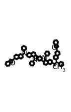 CC(c1ccc2c(ccc3c4cc5c(cc4n(-c4ccccc4)c23)c2ccc3cc(N(c4ccccc4)c4ccc6cc(-c7cc8ccccc8o7)ccc6c4)ccc3c2n5-c2ccccc2)c1)C(c1ccccc1)c1ccc2cc(-c3cc4ccccc4o3)ccc2c1